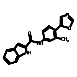 Cc1cc(NC(=O)c2cc3ccccc3[nH]2)ccc1-c1cnco1